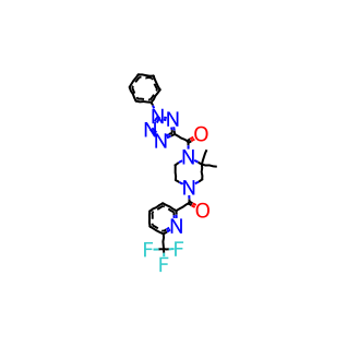 CC1(C)CN(C(=O)c2cccc(C(F)(F)F)n2)CCN1C(=O)c1nnn(-c2ccccc2)n1